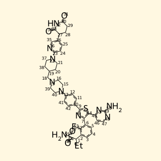 CCC(c1cccc(-c2nc(-c3ccc(N4CCN(CC5CCN(c6ccc(C7CCC(=O)NC7=O)cn6)CC5)CC4)cc3)sc2-c2ccnc(N)n2)c1F)S(N)(=O)=O